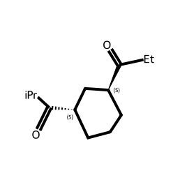 CCC(=O)[C@H]1CCC[C@H](C(=O)C(C)C)C1